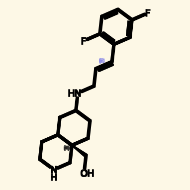 OC[C@]12CCC(NC/C=C/c3cc(F)ccc3F)CC1CCNC2